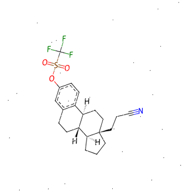 N#CCC[C@@]12CCC[C@H]1[C@@H]1CCc3cc(OS(=O)(=O)C(F)(F)F)ccc3[C@H]1CC2